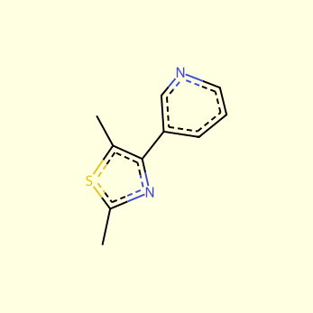 Cc1nc(-c2cccnc2)c(C)s1